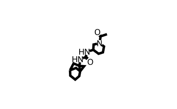 CC(=O)N1CCCC(NC(=O)NC23CC4CCCC2(C4)C3)C1